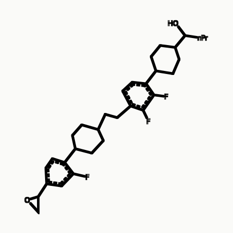 CCCC(O)C1CCC(c2ccc(CCC3CCC(c4ccc(C5CO5)cc4F)CC3)c(F)c2F)CC1